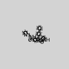 O=C(NCCc1ccccn1)c1ccc2[nH]c(-c3ccc[nH]c3=O)c(C3=CCC(C4=CCCC=C4)C=C3)c2c1